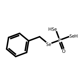 O=P([SeH])([SeH])[Se]Cc1ccccc1